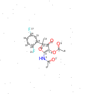 CC(=O)NC1=C(OC(C)=O)C(=O)C(C)(c2cc(F)ccc2F)O1